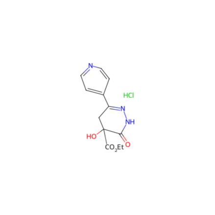 CCOC(=O)C1(O)CC(c2ccncc2)=NNC1=O.Cl